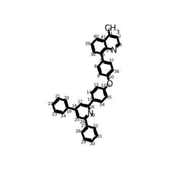 Cc1ccnc2c(-c3ccc(Oc4ccc(-c5cc(-c6ccccc6)cc(-c6ccccc6)n5)cc4)cc3)cccc12